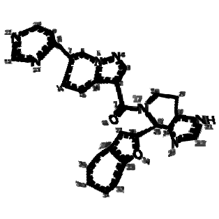 O=C(c1cnn2cc(-c3ccncn3)ccc12)N1CCc2[nH]cnc2[C@H]1c1cc2ccccc2o1